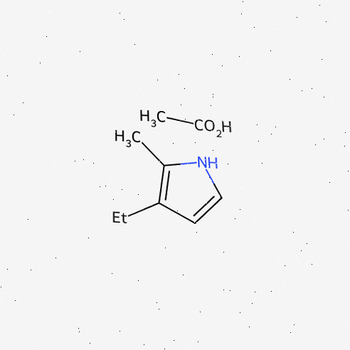 CC(=O)O.CCc1cc[nH]c1C